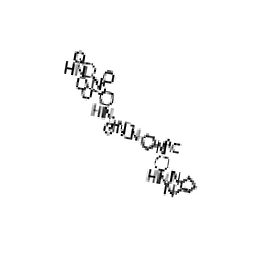 CC(=O)N(c1ccc(N2CCN(C(=O)CNc3ccc4c(c3)C(=O)N(C3CCC(=O)NC3=O)C4=O)CC2)cc1)C1CCC(Nc2ncc3ccccc3n2)CC1